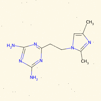 Cc1cn(CCc2nc(N)nc(N)n2)c(C)n1